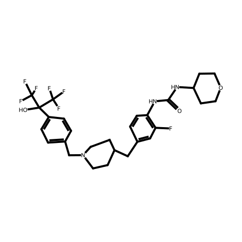 O=C(Nc1ccc(CC2CCN(Cc3ccc(C(O)(C(F)(F)F)C(F)(F)F)cc3)CC2)cc1F)NC1CCOCC1